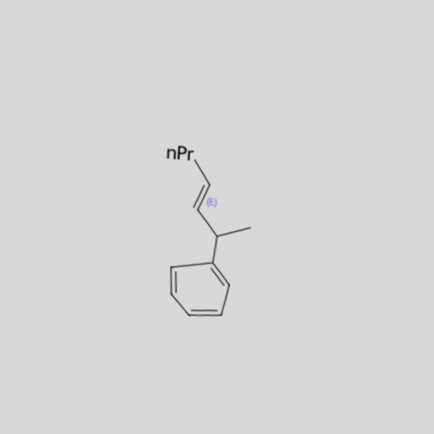 CCC/C=C/C(C)c1ccccc1